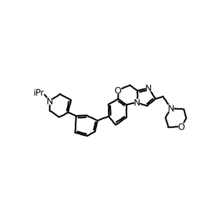 CC(C)N1CC=C(c2cccc(-c3ccc4c(c3)OCc3nc(CN5CCOCC5)cn3-4)c2)CC1